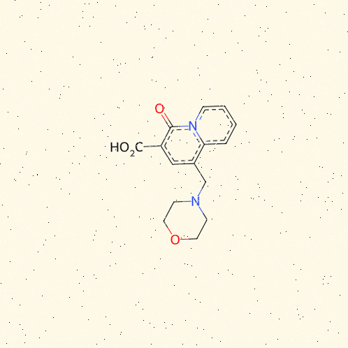 O=C(O)c1cc(CN2CCOCC2)c2ccccn2c1=O